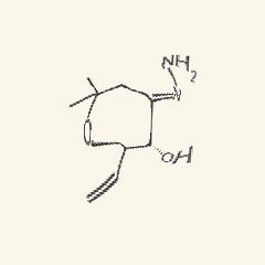 C=CC1OC(C)(C)C/C(=N\N)[C@@H]1O